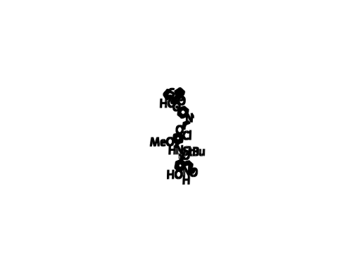 COc1cc(OCCCN(C)[C@H]2CC[C@H](OC(=O)C(O)(c3cccs3)c3cccs3)CC2)c(Cl)cc1CNC[C@H](O[Si](C)(C)C(C)(C)C)c1ccc(O)c2[nH]c(=O)ccc12